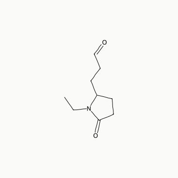 CCN1C(=O)CCC1CCC=O